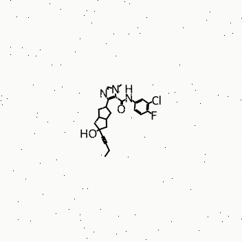 CCC#CC1(O)CC2CC(c3ncn(C)c3C(=O)Nc3ccc(F)c(Cl)c3)CC2C1